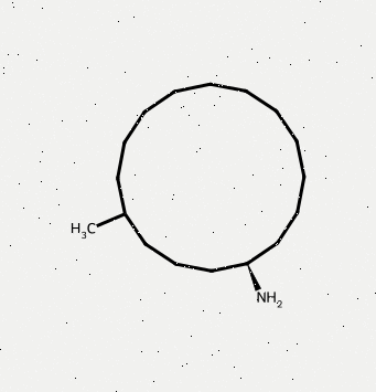 CC1CCCCCCCCCCC[C@@H](N)CCC1